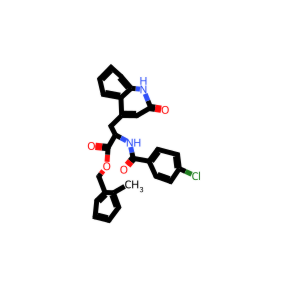 Cc1ccccc1COC(=O)C(Cc1cc(=O)[nH]c2ccccc12)NC(=O)c1ccc(Cl)cc1